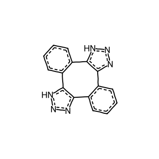 c1ccc2c(c1)-c1nn[nH]c1-c1ccccc1-c1[nH]nnc1-2